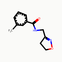 O=C(NCC1=NOCC1)c1cccc(C(F)(F)F)c1